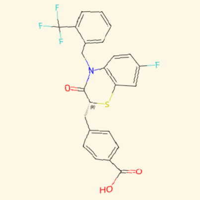 O=C(O)c1ccc(C[C@H]2Sc3cc(F)ccc3N(Cc3ccccc3C(F)(F)F)C2=O)cc1